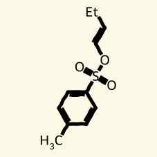 CC/C=C/OS(=O)(=O)c1ccc(C)cc1